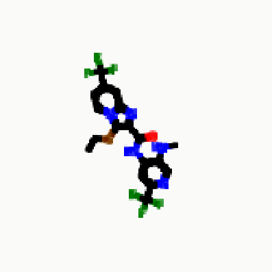 CCSc1c(C(=O)Nc2cc(C(F)(F)F)ncc2NC)nc2cc(C(F)(F)F)ccn12